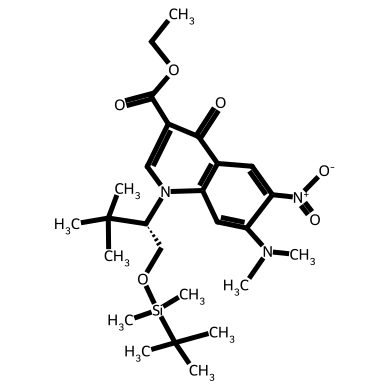 CCOC(=O)c1cn([C@H](CO[Si](C)(C)C(C)(C)C)C(C)(C)C)c2cc(N(C)C)c([N+](=O)[O-])cc2c1=O